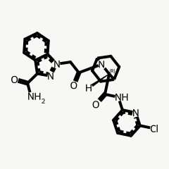 NC(=O)c1nn(CC(=O)N2C3CCC(CC3)[C@@H]2C(=O)Nc2cccc(Cl)n2)c2ccccc12